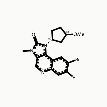 CO[C@@H]1CC[C@@H](n2c(=O)n(C)c3cnc4cc(F)c(Br)cc4c32)C1